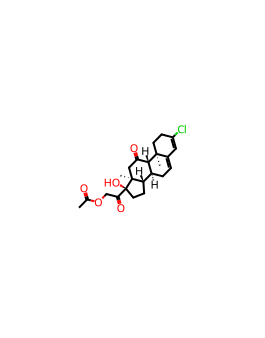 CC(=O)OCC(=O)[C@@]1(O)CC[C@H]2[C@@H]3CC=C4C=C(Cl)CC[C@]4(C)[C@H]3C(=O)C[C@@]21C